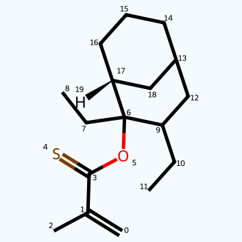 C=C(C)C(=S)OC1(CC)C(CC)CC2CCC[C@@H]1C2